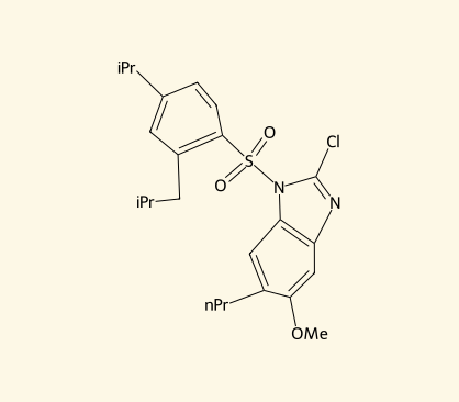 CCCc1cc2c(cc1OC)nc(Cl)n2S(=O)(=O)c1ccc(C(C)C)cc1CC(C)C